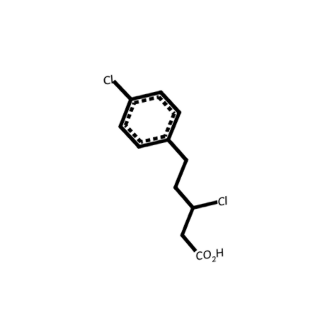 O=C(O)CC(Cl)CCc1ccc(Cl)cc1